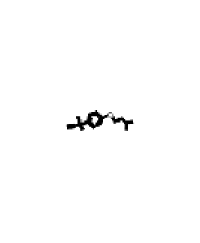 C#CC(C)(C)c1ccc(OCCC(C)C)cc1